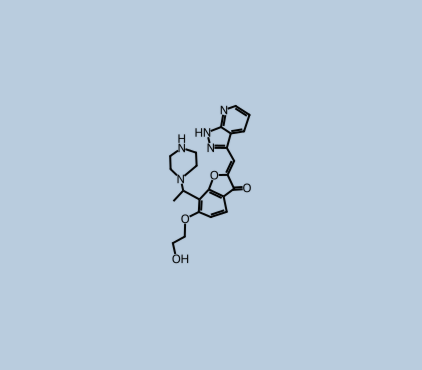 CC(c1c(OCCO)ccc2c1O/C(=C\c1n[nH]c3ncccc13)C2=O)N1CCNCC1